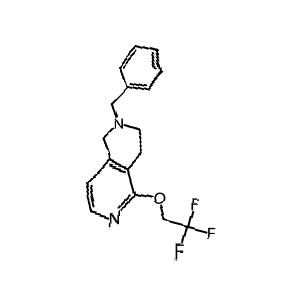 FC(F)(F)COc1nccc2c1CCN(Cc1ccccc1)C2